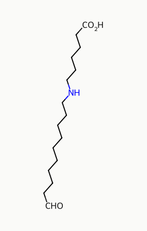 O=CCCCCCCCCCNCCCCCC(=O)O